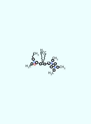 CCCCCCCCC1(CCCCCCCC)c2cc(-c3ccc(N(c4ccc(C)cc4)c4c5ccccc5c(N(c5ccc(C)cc5)c5ccc(C)cc5)c5ccccc45)cc3)ccc2-c2ccc(-c3ccc4c(c3)Oc3cc(C)ccc3N4c3ccc(CCCC)cc3)cc21